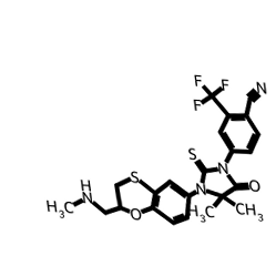 CNCC1CSc2cc(N3C(=S)N(c4ccc(C#N)c(C(F)(F)F)c4)C(=O)C3(C)C)ccc2O1